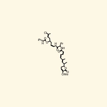 COC1=CCC(C(C)/C=C(C)/C=C\C=C/C(=O)NC(C(=O)N/C=C\CC(C/C=C(\C)Cl)OC(=O)NC(C)C)C(C)C)OC1=O